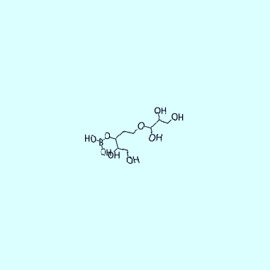 OCC(O)C(O)OCCC(OB(O)O)C(O)CO